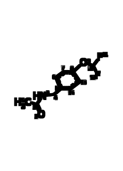 CC(=O)NCc1ccc(OC(F)F)cc1